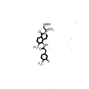 CNC[C@@H](C)n1ccc2c(NC(=O)Cc3ccc(C(F)(F)F)c(F)c3)c(C)ccc2c1=O